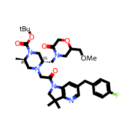 COCC1CN(C[C@H]2CN(C(=O)OC(C)(C)C)[C@H](C)CN2CC(=O)N2CC(C)(C)c3ncc(Cc4ccc(F)cc4)cc32)C(=O)CO1